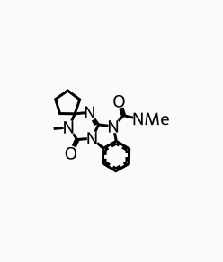 CNC(=O)N1C2=NC3(CCCC3)N(C)C(=O)N2c2ccccc21